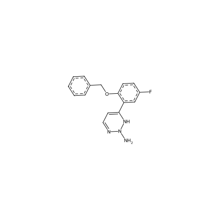 NN1N=CC=C(c2cc(F)ccc2OCc2ccccc2)N1